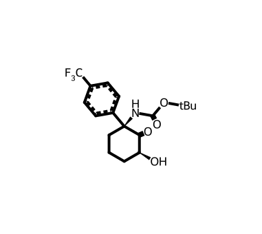 CC(C)(C)OC(=O)N[C@]1(c2ccc(C(F)(F)F)cc2)CCC[C@H](O)C1=O